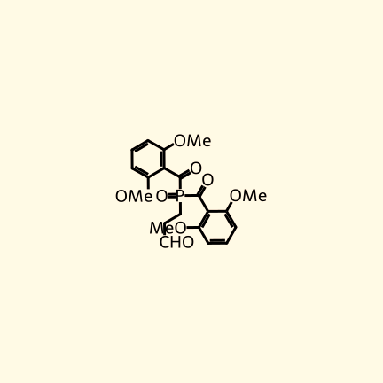 COc1cccc(OC)c1C(=O)P(=O)(CCC=O)C(=O)c1c(OC)cccc1OC